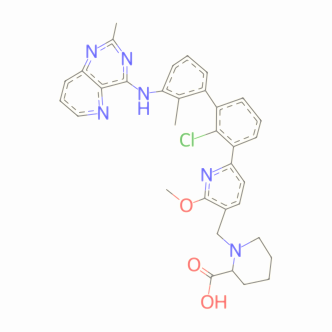 COc1nc(-c2cccc(-c3cccc(Nc4nc(C)nc5cccnc45)c3C)c2Cl)ccc1CN1CCCCC1C(=O)O